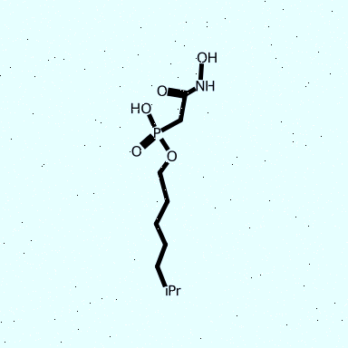 CC(C)CCCCCOP(=O)(O)CC(=O)NO